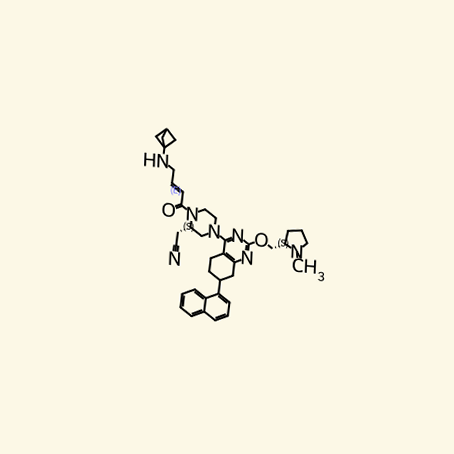 CN1CCC[C@H]1COc1nc2c(c(N3CCN(C(=O)/C=C/CNC45CC(C4)C5)[C@@H](CC#N)C3)n1)CCC(c1cccc3ccccc13)C2